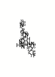 Fc1cccc(-c2ccnc3[nH]c(-c4n[nH]c5ncc(-c6cncc(OCCN7CCCC7)c6)cc45)cc23)c1